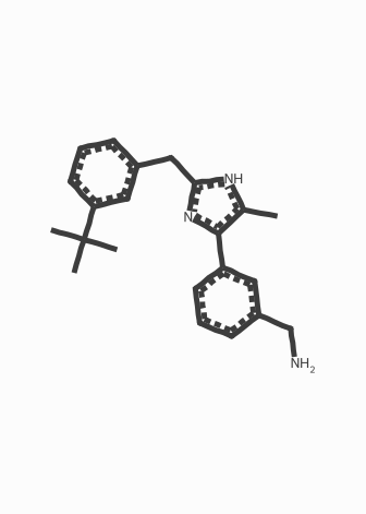 Cc1[nH]c(Cc2cccc(C(C)(C)C)c2)nc1-c1cccc(CN)c1